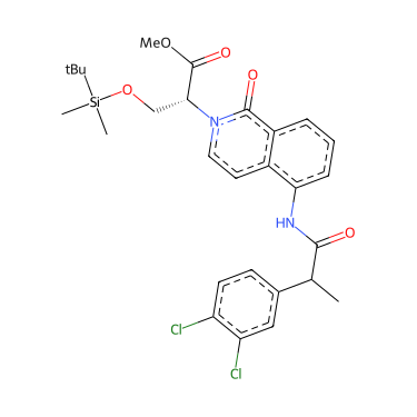 COC(=O)[C@@H](CO[Si](C)(C)C(C)(C)C)n1ccc2c(NC(=O)C(C)c3ccc(Cl)c(Cl)c3)cccc2c1=O